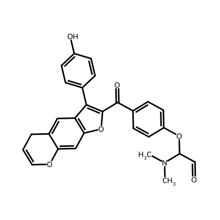 CN(C)C(C=O)Oc1ccc(C(=O)c2oc3cc4c(cc3c2-c2ccc(O)cc2)CC=CO4)cc1